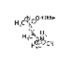 COCCOc1ccc(N(Cc2cnccc2C)C2CCN([C@H](C)CCNC(=O)c3c(C)cc(C#N)cc3C)CC2)cc1